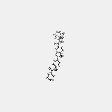 O=C(Nc1ccc(-c2cc3cc(NC(=O)C45CC6CC(CC(C6)C4)C5)ccc3[nH]2)cc1)c1ccncc1